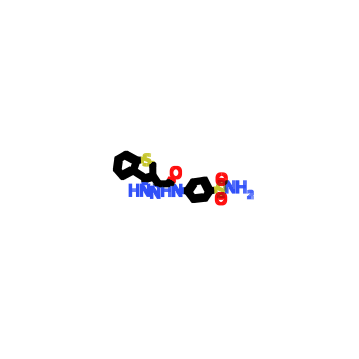 NS(=O)(=O)c1ccc(NC(=O)c2n[nH]c3c2CSc2ccccc2-3)cc1